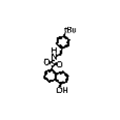 CC(C)(C)c1ccc(CNS(=O)(=O)c2cccc3c(O)cccc23)cc1